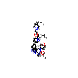 C[C@@H](OCCN1CCC(C(F)(F)F)CC1)c1ccc(-c2ccc3nnc4c(c3c2)n(C2CCOCC2)c(=O)n4C)cn1